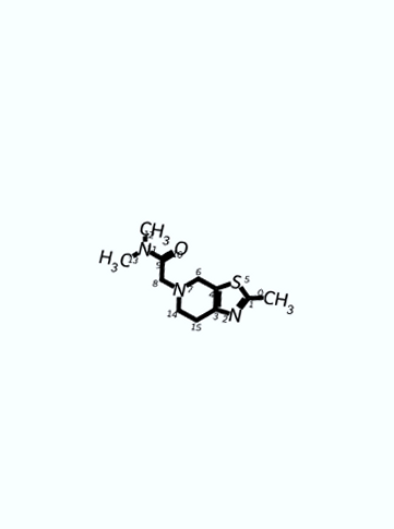 Cc1nc2c(s1)CN(CC(=O)N(C)C)CC2